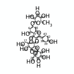 C[C@@H]1O[C@@H](Oc2cc(O)c3c(=O)c(O[C@@H]4O[C@H](CO)[C@@H](O)[C@H](O)[C@H]4O[C@@H]4O[C@H](CO)[C@@H](O)[C@H](O)[C@H]4O)c(-c4ccc(O)cc4)oc3c2)[C@H](O)[C@H](O)[C@H]1O